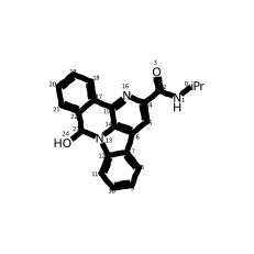 CC(C)NC(=O)c1cc2c3ccccc3n3c2c(n1)-c1ccccc1C3O